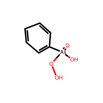 O=[As](O)(OO)c1ccccc1